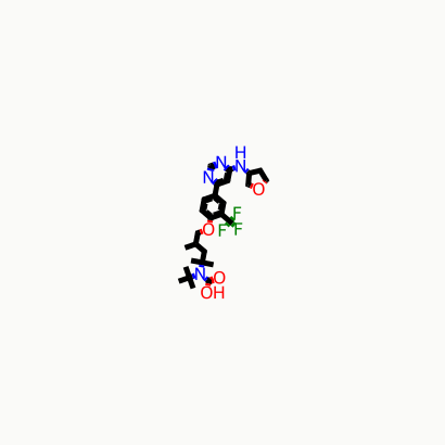 CC(COc1ccc(-c2cc(NC3CCOC3)ncn2)cc1C(F)(F)F)CC(C)(C)N(C(=O)O)C(C)(C)C